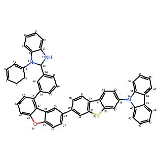 C1=CCCC(N2c3ccccc3NC2c2cccc(-c3cccc4oc5ccc(-c6ccc7c(c6)sc6cc(-n8c9ccccc9c9ccccc98)ccc67)cc5c34)c2)=C1